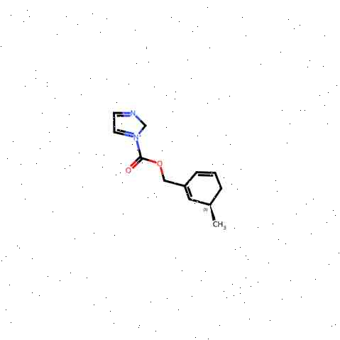 C[C@H]1C=C(COC(=O)[N+]2=CC=NC2)C=CC1